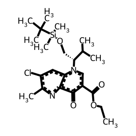 CCOC(=O)c1cn([C@H](CO[Si](C)(C)C(C)(C)C)C(C)C)c2cc(Cl)c(C)nc2c1=O